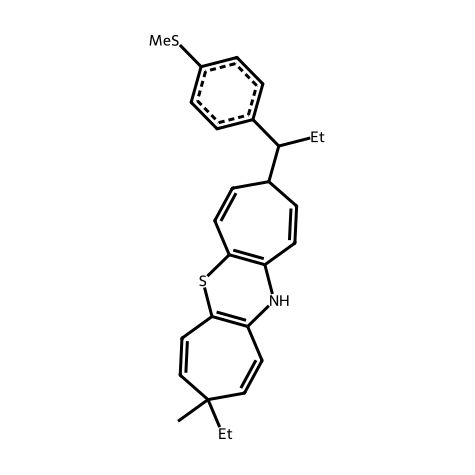 CCC(c1ccc(SC)cc1)C1C=CC2=C(C=C1)SC1=C(C=CC(C)(CC)C=C1)N2